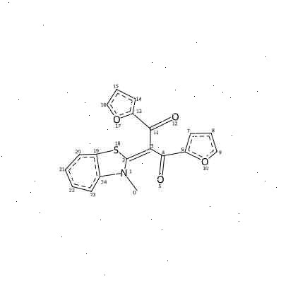 CN1C(=C(C(=O)c2ccco2)C(=O)c2ccco2)Sc2ccccc21